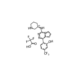 O=C(O)C(F)(F)F.Oc1cc(C(F)(F)F)ccc1-c1nnc(N[C@@H]2CCCNC2)n2cccc12